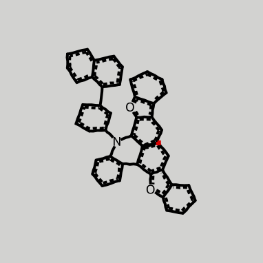 c1cc(-c2cccc3ccccc23)cc(N(c2ccccc2-c2cccc3c2oc2ccccc23)c2cccc3c2oc2ccccc23)c1